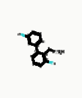 O=C(O)Cc1c(F)cccc1-c1cccc(F)c1